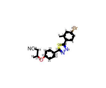 Cc1cc(Br)ccc1-c1nnc(-c2ccc(OC(C)CC#N)cc2)s1